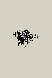 CC(C)(C)OC(=O)Nc1sc(-c2c(F)cccc2F)nc1C(=O)Nc1cnn(CC(F)(F)F)c1N1CCCC(NC(=O)C(F)(F)F)CC1